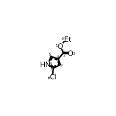 CCOC(=O)c1c[nH]c(Cl)c1